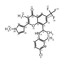 Cc1nc(Cl)ccc1NC(C)c1cc(C(F)(F)F)cc2c(=O)c(C)c(-c3ccn(C)c3)oc12